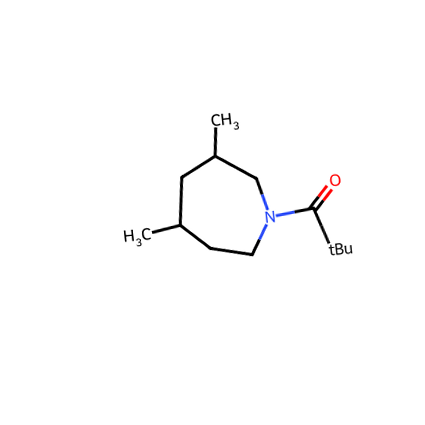 CC1CCN(C(=O)C(C)(C)C)CC(C)C1